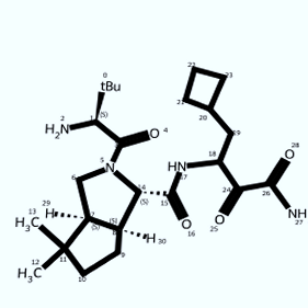 CC(C)(C)[C@H](N)C(=O)N1C[C@H]2[C@H](CCC2(C)C)[C@H]1C(=O)NC(CC1CCC1)C(=O)C(N)=O